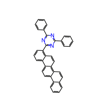 c1ccc(-c2nc(-c3ccccc3)nc(-c3cccc4c3ccc3c4ccc4c5ccccc5ccc43)n2)cc1